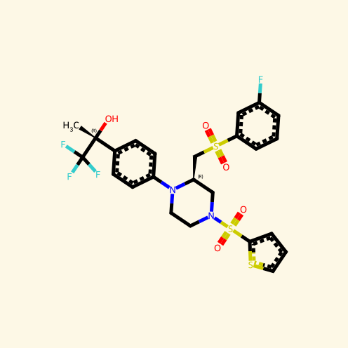 C[C@@](O)(c1ccc(N2CCN(S(=O)(=O)c3cccs3)C[C@@H]2CS(=O)(=O)c2cccc(F)c2)cc1)C(F)(F)F